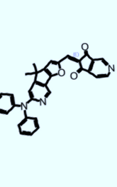 CC1(C)c2cc(N(c3ccccc3)c3ccccc3)ncc2-c2oc(/C=C3\C(=O)c4ccncc4C3=O)cc21